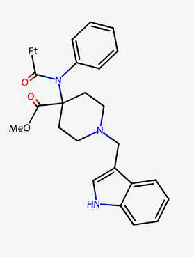 CCC(=O)N(c1ccccc1)C1(C(=O)OC)CCN(Cc2c[nH]c3ccccc23)CC1